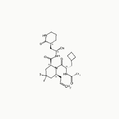 C=CC[C@H]1CC(F)(F)C[C@@H](C(=O)N[C@H](C#N)C[C@@H]2CCCNC2=O)N1C(=O)[C@H](CC1CCC1)NC(=O)C(F)(F)F